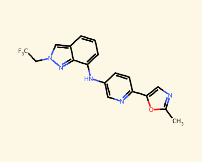 Cc1ncc(-c2ccc(Nc3cccc4cn(CC(F)(F)F)nc34)cn2)o1